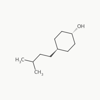 CC(C)CC[C@H]1CC[C@H](O)CC1